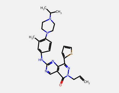 C=CCn1nc(-c2cccs2)c2nc(Nc3ccc(N4CCN(C(C)C)CC4)c(C)c3)ncc2c1=O